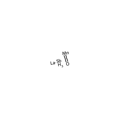 [La].[O]=[Mn].[SbH3]